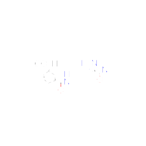 CN(C(=O)[C@@H](N)C1CCC(CNC(=O)c2ccc(CC(=O)O)cc2)CC1)C1CCC1